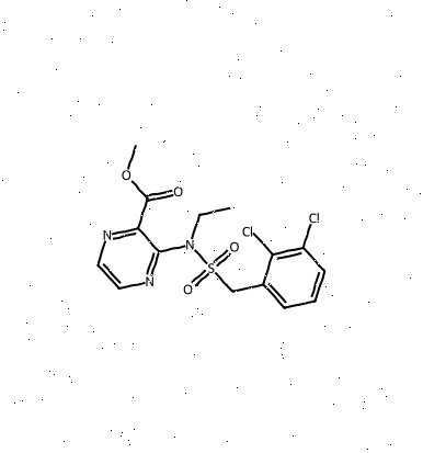 CCN(c1nccnc1C(=O)OC)S(=O)(=O)Cc1cccc(Cl)c1Cl